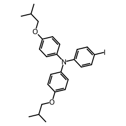 CC(C)COc1ccc(N(c2ccc(I)cc2)c2ccc(OCC(C)C)cc2)cc1